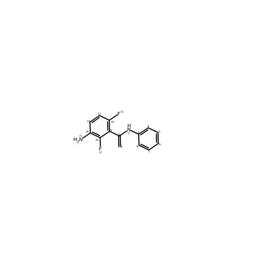 C=C(Nc1ccccc1)c1c(F)ccc(N)c1F